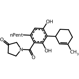 CCCCCc1cc(O)c(C2C=C(C)CCC2)c(O)c1C(=O)N1CCC(=O)C1